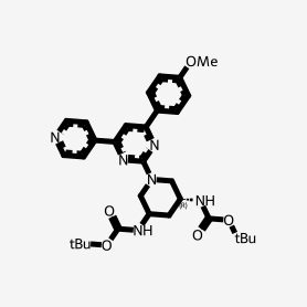 COc1ccc(-c2cc(-c3ccncc3)nc(N3CC(NC(=O)OC(C)(C)C)C[C@@H](NC(=O)OC(C)(C)C)C3)n2)cc1